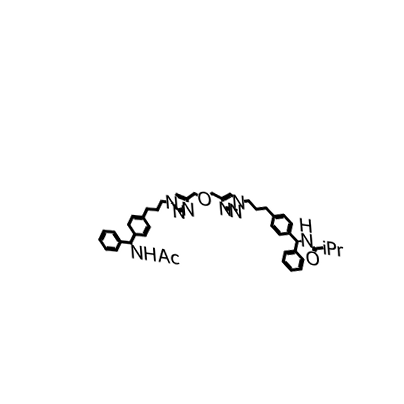 CC(=O)N[C@@H](c1ccccc1)C1C=CC(CCCn2cc(COCc3cn(CCCc4ccc([C@@H](NC(=O)C(C)C)c5ccccc5)cc4)nn3)nn2)=CC1